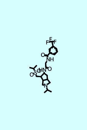 CC(C)N1CC2CC(NC(=O)CNC(=O)c3cccc(C(F)(F)F)c3)C(CS(=O)(=O)C(C)C)C2C1